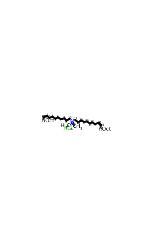 CCCCCCCC/C=C\CCCCCCCCN(CCCCCCCC/C=C\CCCCCCCC)N(C)C.Cl